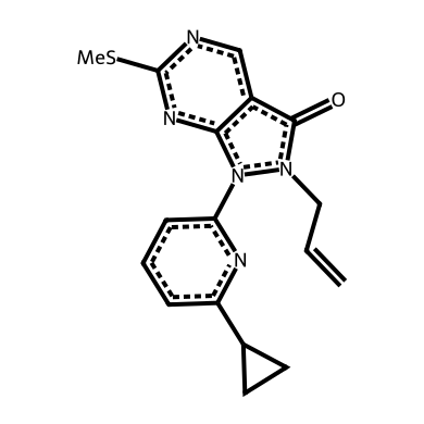 C=CCn1c(=O)c2cnc(SC)nc2n1-c1cccc(C2CC2)n1